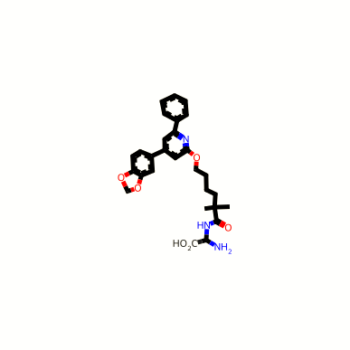 CC(C)(CCCCOc1cc(-c2ccc3c(c2)OCO3)cc(-c2ccccc2)n1)C(=O)NC(N)C(=O)O